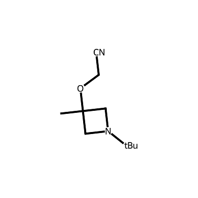 CC1(OCC#N)CN(C(C)(C)C)C1